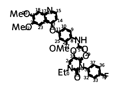 CCn1cc(OC(=O)Nc2ccc(Oc3ccnc4cc(OC)c(OC)cc34)cc2OC)c(=O)n(-c2ccc(F)cc2)c1=O